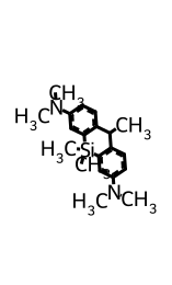 CC1c2ccc(N(C)C)cc2[Si](C)(C)c2cc(N(C)C)ccc21